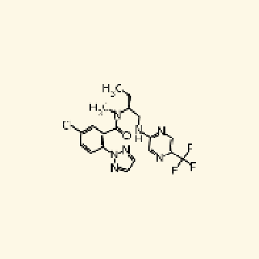 CC[C@@H](CNc1cnc(C(F)(F)F)cn1)N(C)C(=O)c1cc(Cl)ccc1-n1nccn1